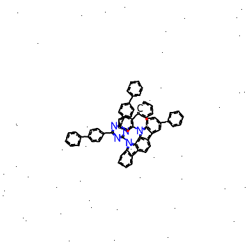 c1ccc(-c2ccc(-c3nc(-c4ccc(-c5ccccc5)cc4)nc(-n4c5ccccc5c5ccc6c7cc(-c8ccccc8)ccc7n(-c7ccccc7-c7ccccc7)c6c54)n3)cc2)cc1